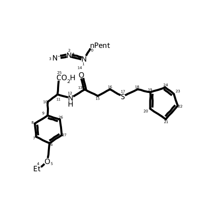 CCCCCN=[N+]=[N-].CCOc1ccc(CC(NC(=O)CCSCc2ccccc2)C(=O)O)cc1